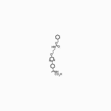 C[C@H](NC(=O)O)c1ccc(-c2ncc(OCCCNC(=O)OCc3ccccc3)cn2)cc1